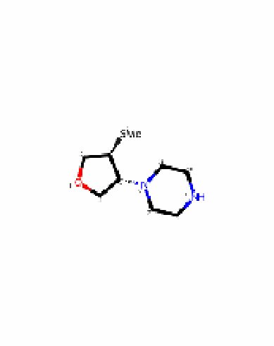 CS[C@@H]1COC[C@H]1N1CCNCC1